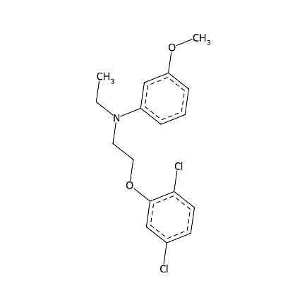 CCN(CCOc1cc(Cl)ccc1Cl)c1cccc(OC)c1